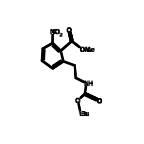 COC(=O)c1c(CCNC(=O)OC(C)(C)C)cccc1[N+](=O)[O-]